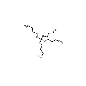 CCCCOC(OCCCC)(OCCCC)OCCCC